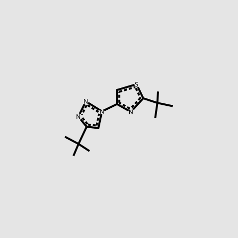 CC(C)(C)c1cn(-c2csc(C(C)(C)C)n2)nn1